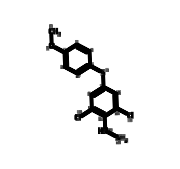 COc1ccc(Sc2cc(Cl)c(NN)c(Cl)c2)cc1